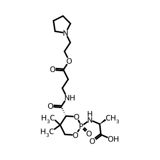 C[C@H](NP1(=O)OCC(C)(C)[C@H](C(=O)NCCC(=O)OCCN2CCCC2)O1)C(=O)O